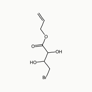 C=CCOC(=O)C(O)C(O)CBr